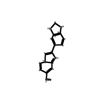 CNc1ccn2cc(-c3ccc4c(c3)OCO4)nc2c1